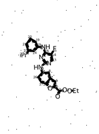 CCOOC(=O)c1cc2cc(Nc3ncc(F)c(Nc4cccc(C(C)C)c4)n3)ccc2o1